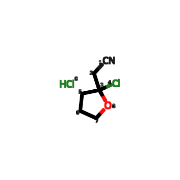 Cl.N#CCC1(Cl)CCCO1